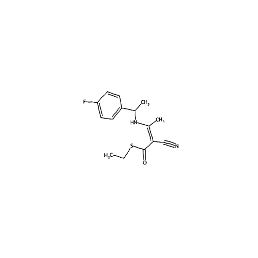 CCSC(=O)C(C#N)=C(C)NC(C)c1ccc(F)cc1